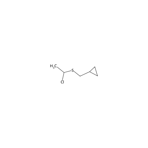 CC(Cl)SCC1CC1